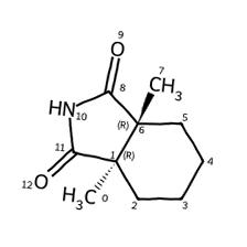 C[C@@]12CCCC[C@@]1(C)C(=O)NC2=O